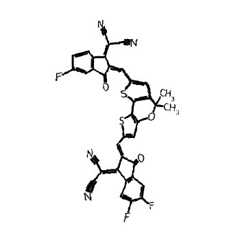 CC1(C)Oc2cc(/C=C3\C(=O)c4cc(F)c(F)cc4C3=C(C#N)C#N)sc2-c2sc(/C=C3\C(=O)c4cc(F)ccc4C3=C(C#N)C#N)cc21